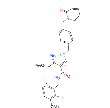 COCC(=N)/C(=C\NCc1ccc(Cn2ccccc2=O)cc1)C(=O)NCc1c(F)ccc(OC)c1F